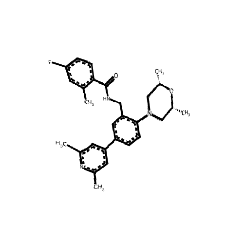 Cc1cc(-c2ccc(N3C[C@@H](C)O[C@@H](C)C3)c(CNC(=O)c3ccc(F)cc3C)c2)cc(C)n1